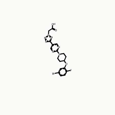 O=C(O)Cn1nnc(-c2cnc(N3CCC(Oc4cc(Br)ccc4F)CC3)nc2)n1